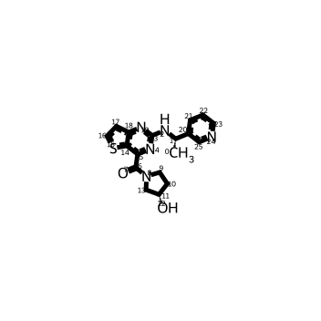 C[C@H](Nc1nc(C(=O)N2CC[C@H](O)C2)c2sccc2n1)c1cccnc1